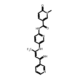 Cn1cc(C(=O)Nc2ccc(N/C(=C\C(=N)c3cccnc3)C(F)(F)F)cn2)ccc1=O